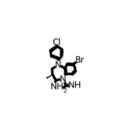 CC(=N)N1c2ccc(Br)cc2N(c2ccc(Cl)cc2)C[C@H](C)C1N